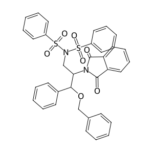 O=C1c2ccccc2C(=O)N1C(CN(S(=O)(=O)c1ccccc1)S(=O)(=O)c1ccccc1)C(OCc1ccccc1)c1ccccc1